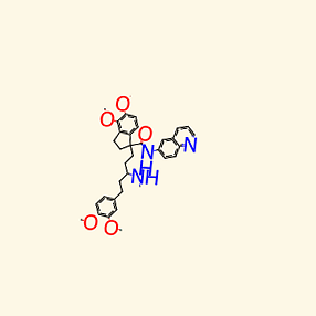 CNC(CCc1ccc(OC)c(OC)c1)CCC1(C(=O)Nc2ccc3ncccc3c2)CCc2c1ccc(OC)c2OC